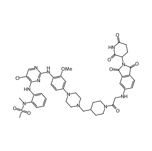 COc1cc(N2CCN(CC3CCN(C(=O)CNc4ccc5c(c4)C(=O)N(C4CCC(=O)NC4=O)C5=O)CC3)CC2)ccc1Nc1ncc(Cl)c(Nc2ccccc2N(C)S(C)(=O)=O)n1